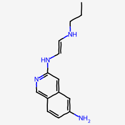 CCCN/C=C/Nc1cc2cc(N)ccc2cn1